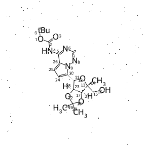 CC(C)(C)OC(=O)Nc1ncnn2c([C@@H]3O[C@](C)(CO)[C@H]4OC(C)(C)O[C@@H]34)ccc12